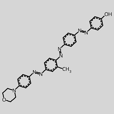 Cc1cc(N=Nc2ccc(N3CCOCC3)cc2)ccc1N=Nc1ccc(N=Nc2ccc(O)cc2)cc1